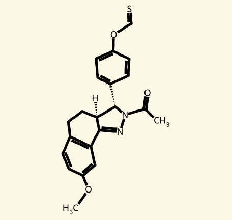 COc1ccc2c(c1)C1=NN(C(C)=O)[C@@H](c3ccc(OC=S)cc3)[C@@H]1CC2